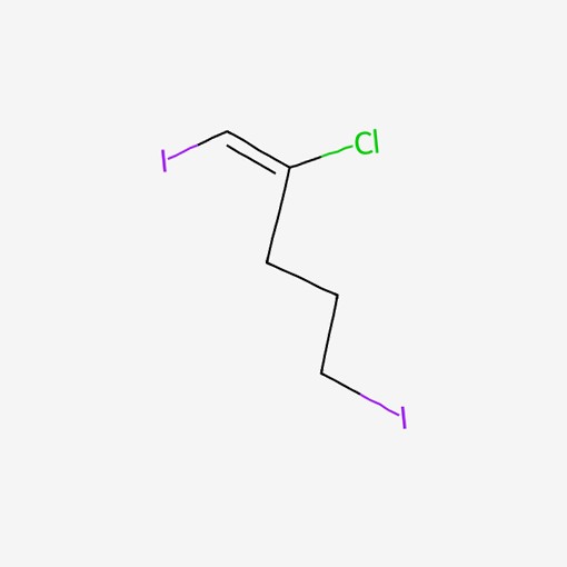 Cl/C(=C/I)CCCI